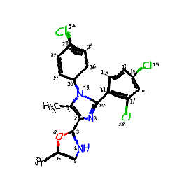 Cc1c(C2NCC(C(C)C)O2)nc(-c2ccc(Cl)cc2Cl)n1C1C=CC(Cl)=CC1